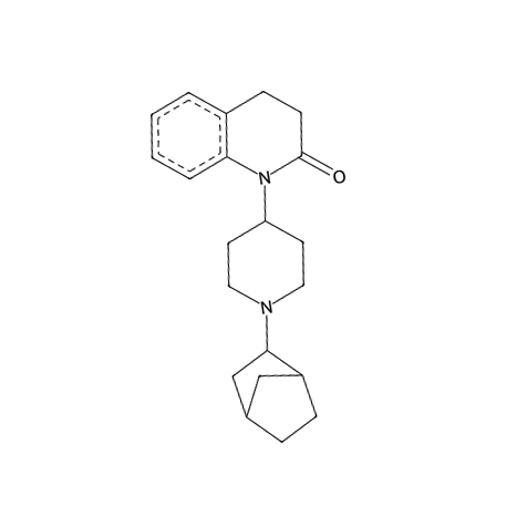 O=C1CCc2ccccc2N1C1CCN(C2CC3CCC2C3)CC1